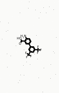 Nc1ccc(-c2cc(C(F)(F)F)cc(C(F)(F)F)c2)cc1C(=O)O